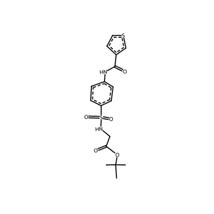 CC(C)(C)OC(=O)CNS(=O)(=O)c1ccc(NC(=O)c2ccsc2)cc1